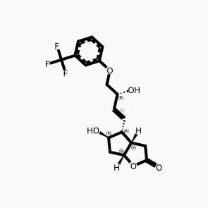 O=C1C[C@H]2[C@@H](/C=C/[C@@H](O)COc3cccc(C(F)(F)F)c3)[C@H](O)C[C@H]2O1